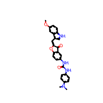 COc1ccc2[nH]cc(C=C3Oc4ccc(NC(=O)Nc5ccc(N(C)C)cc5)cc4C3=O)c2c1